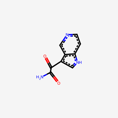 NC(=O)C(=O)c1c[nH]c2ccncc12